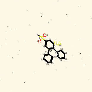 CS(=O)(=O)c1ccc(-c2ccccc2)c(-c2ccccc2)c1.S